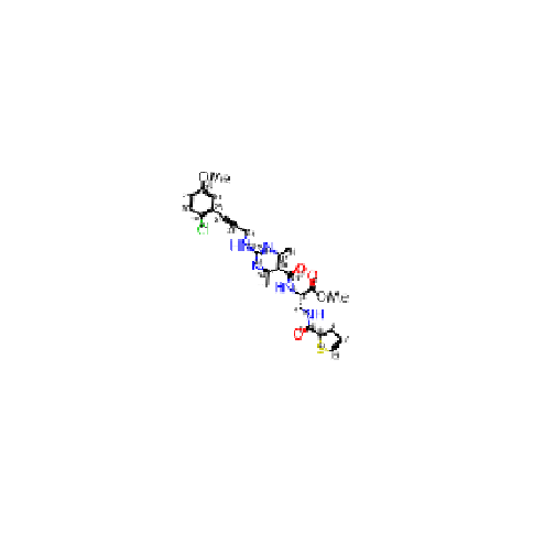 COC(=O)[C@H](CNC(=O)c1cccs1)NC(=O)c1c(C)nc(NCC#Cc2cc(OC)ccc2Cl)nc1C